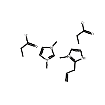 C=CCc1[nH]cc[n+]1C.CCC(=O)[O-].CCC(=O)[O-].Cn1cc[n+](C)c1